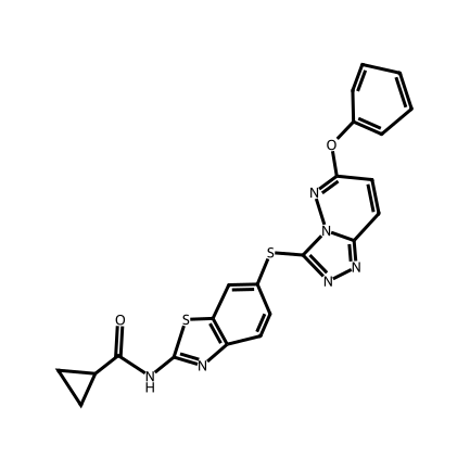 O=C(Nc1nc2ccc(Sc3nnc4ccc(Oc5ccccc5)nn34)cc2s1)C1CC1